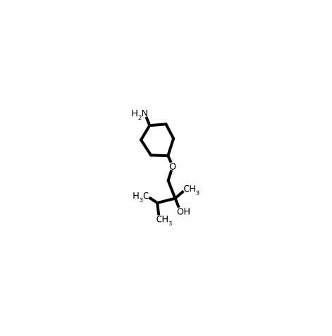 CC(C)C(C)(O)COC1CCC(N)CC1